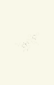 Cc1nc(NCC(C)Oc2ncc(Cl)cc2Cl)c(Cl)c(C(F)F)n1